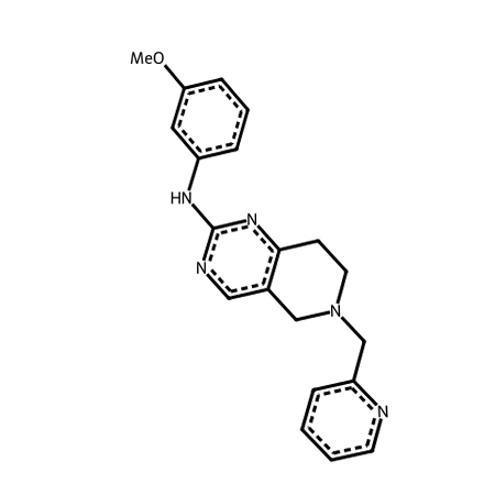 COc1cccc(Nc2ncc3c(n2)CCN(Cc2ccccn2)C3)c1